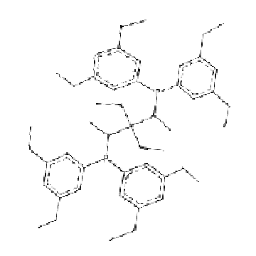 CCc1cc(CC)cc(P(c2cc(CC)cc(CC)c2)C(C)C(CC)(CC)C(C)P(c2cc(CC)cc(CC)c2)c2cc(CC)cc(CC)c2)c1